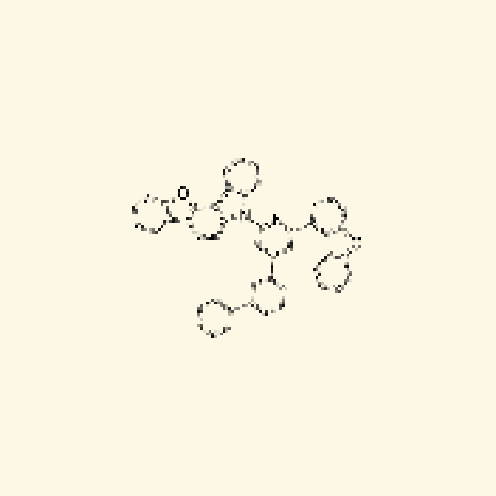 c1ccc(-c2cccc(-c3cc(-c4cccc5oc6ccccc6c45)nc(-n4c5ccccc5c5c6oc7ccccc7c6ccc54)n3)c2)cc1